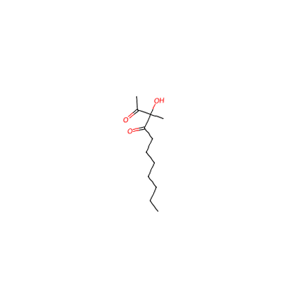 CCCCCCCC(=O)C(C)(O)C(C)=O